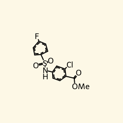 COC(=O)c1ccc(NS(=O)(=O)c2ccc(F)cc2)cc1Cl